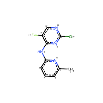 Cc1cccc(Nc2nc(Cl)ncc2F)n1